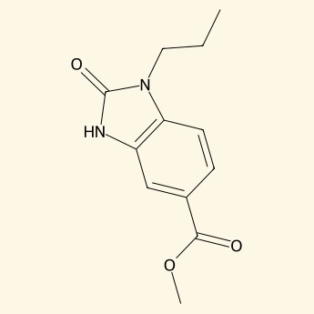 CCCn1c(=O)[nH]c2cc(C(=O)OC)ccc21